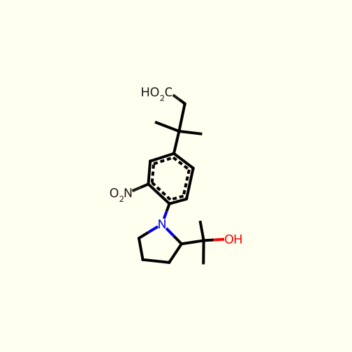 CC(C)(CC(=O)O)c1ccc(N2CCCC2C(C)(C)O)c([N+](=O)[O-])c1